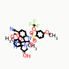 CNC(=O)[C@@H]1C[C@@H](O)C[N+]1(C)C1(c2cccc3c2OCO3)C(=O)N(S(=O)(=O)c2ccc(OC)cc2OC(F)(F)F)c2ccc(C#N)cc21